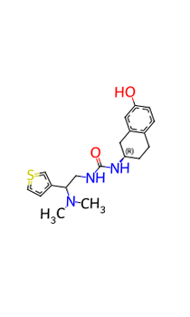 CN(C)C(CNC(=O)N[C@@H]1CCc2ccc(O)cc2C1)c1ccsc1